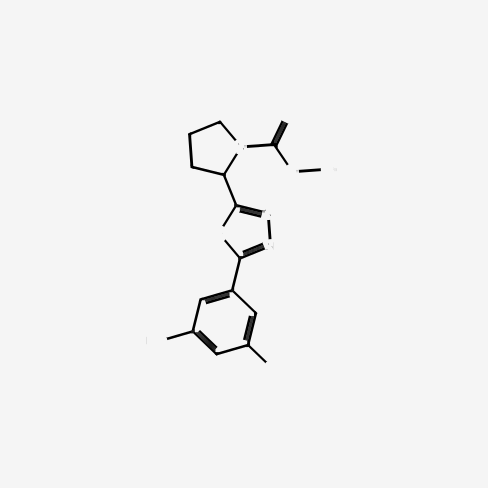 CC(C)(C)OC(=O)N1CCCC1c1nnc(-c2cc(C(F)(F)F)cc(C(F)(F)F)c2)o1